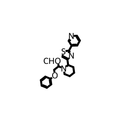 O=CC(COc1ccccc1)N1CCCCC1c1csc(-c2cccnc2)n1